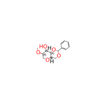 CO[C@@H]1CO[C@H]2COC(c3ccccc3)O[C@@H]2[C@H]1O